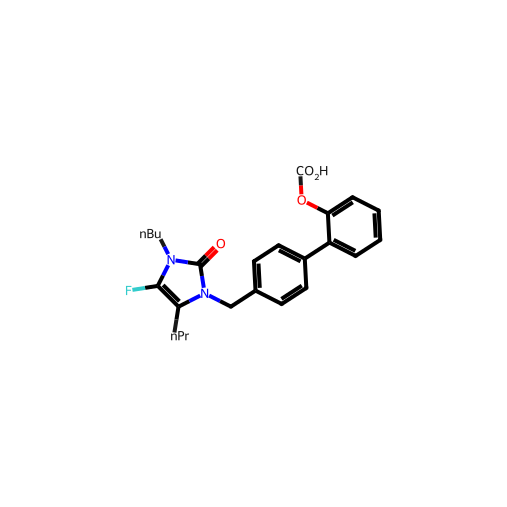 CCCCn1c(F)c(CCC)n(Cc2ccc(-c3ccccc3OC(=O)O)cc2)c1=O